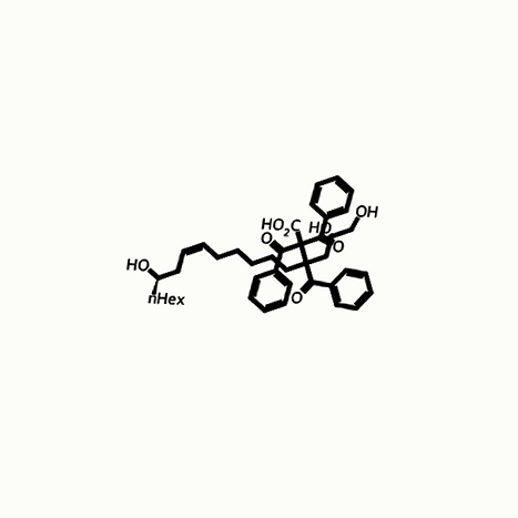 CCCCCC[C@@H](O)C/C=C\CCCCCC(CC(O)CO)(C(=O)c1ccccc1)C(C(=O)O)(C(=O)c1ccccc1)C(=O)c1ccccc1